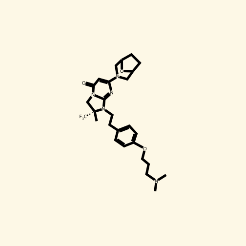 CN(C)CCCOc1ccc(CCN2c3nc(N4CC5CCC(C4)O5)cc(=O)n3C[C@@]2(C)C(F)(F)F)cc1